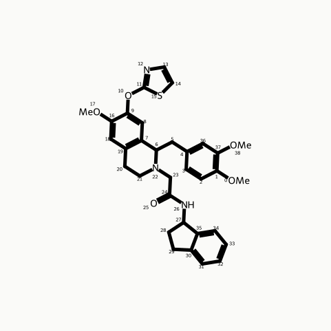 COc1ccc(CC2c3cc(Oc4nccs4)c(OC)cc3CCN2CC(=O)NC2CCc3ccccc32)cc1OC